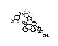 C[C@H]1Cn2c(c(C(=O)NCc3ccccc3-c3ccccn3)n(-c3ccc(N4CC5(CN(C)C5)C4)cc3)c2=O)CN1C(=O)c1ccc(Br)c(C(F)(F)F)c1